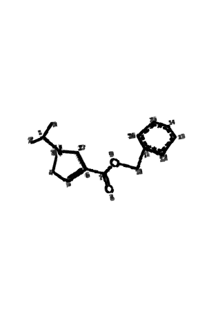 CC(C)N1CC=C(C(=O)OCc2ccccc2)C1